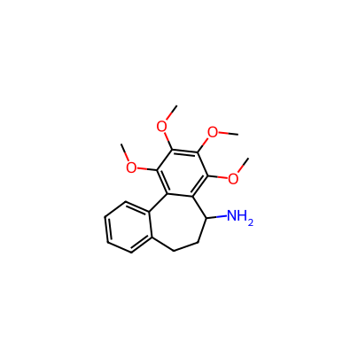 COc1c(OC)c(OC)c2c(c1OC)-c1ccccc1CCC2N